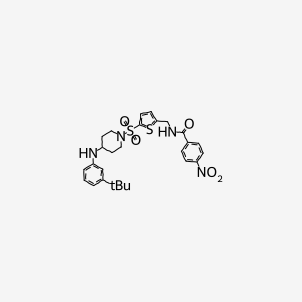 CC(C)(C)c1cccc(NC2CCN(S(=O)(=O)c3ccc(CNC(=O)c4ccc([N+](=O)[O-])cc4)s3)CC2)c1